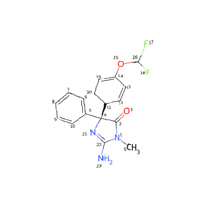 CN1C(=O)[C@](c2ccccc2)(C2C=CC(OC(F)F)=CC2)N=C1N